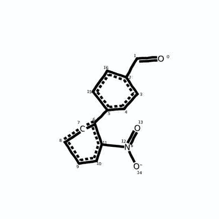 O=Cc1ccc(-c2ccccc2[N+](=O)[O-])cc1